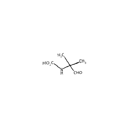 CC(C)(C=O)NC(=O)O